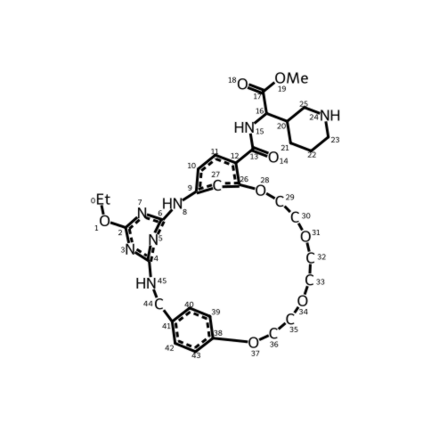 CCOc1nc2nc(n1)Nc1ccc(C(=O)NC(C(=O)OC)C3CCCNC3)c(c1)OCCOCCOCCOc1ccc(cc1)CN2